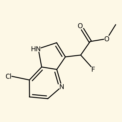 COC(=O)C(F)c1c[nH]c2c(Cl)ccnc12